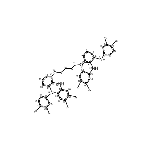 Cc1ccc(Nc2cccc(OCCCCOc3cccc(Nc4ccc(C)c(C)c4)c3Nc3ccc(C)c(C)c3)c2Nc2ccc(C)c(C)c2)cc1C